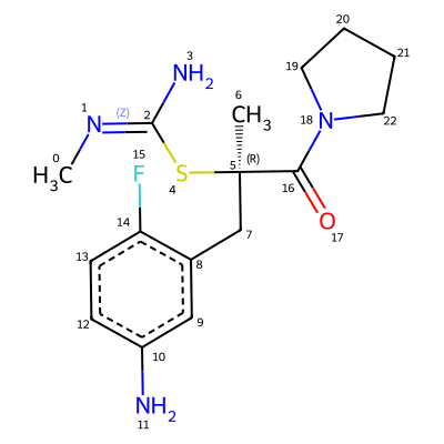 C/N=C(/N)S[C@](C)(Cc1cc(N)ccc1F)C(=O)N1CCCC1